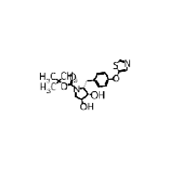 CC(C)(C)OC(=O)N1C[C@H](O)[C@@H](O)[C@H]1Cc1ccc(Oc2cncs2)cc1